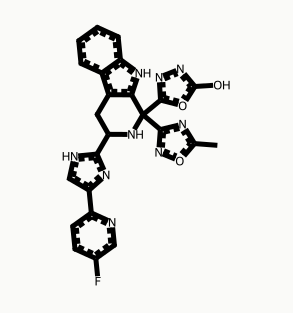 Cc1nc(C2(c3nnc(O)o3)NC(c3nc(-c4ccc(F)cn4)c[nH]3)Cc3c2[nH]c2ccccc32)no1